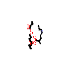 CC/C=C\CCC(C)C(=O)O.CCCCC=COC(=O)CC